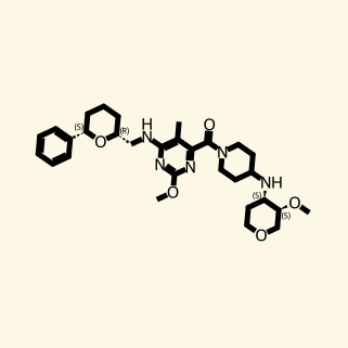 COc1nc(NC[C@H]2CCC[C@@H](c3ccccc3)O2)c(C)c(C(=O)N2CCC(N[C@H]3CCOC[C@H]3OC)CC2)n1